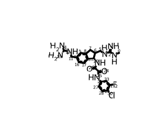 CNC(=N)NCC1Cc2cc(CNC(N)N)ccc2[C@@H]1NC(=O)C(=O)Nc1ccc(Cl)c(F)c1